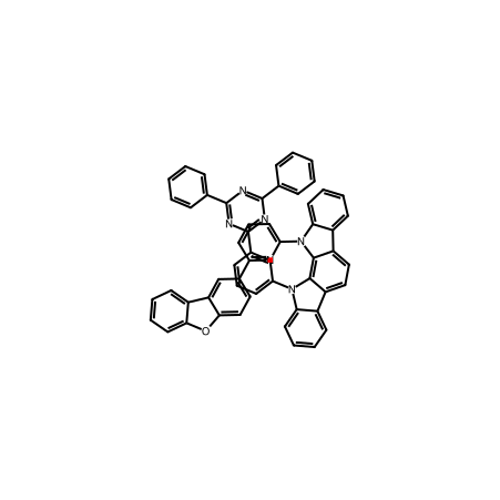 c1ccc(-c2nc(-c3ccccc3)nc(-c3cccc(-n4c5ccccc5c5ccc6c7ccccc7n(-c7cccc(-c8ccc9oc%10ccccc%10c9c8)n7)c6c54)c3)n2)cc1